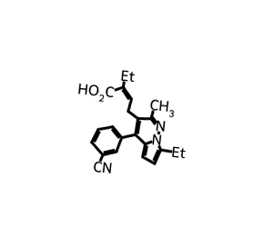 CCC(=CCc1c(C)nn2c(CC)ccc2c1-c1cccc(C#N)c1)C(=O)O